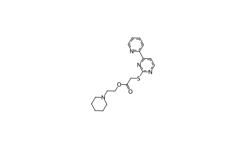 O=C(CSc1nccc(-c2ccccn2)n1)OCCN1CCCCC1